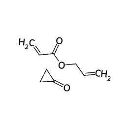 C=CCOC(=O)C=C.O=C1CC1